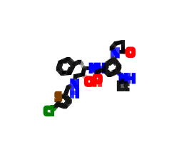 CCNc1cc(C(=O)N[C@@H](Cc2ccccc2)[C@H](O)CNCc2ccc(Cl)s2)cc(N2CCCC2=O)c1